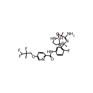 CC1(C)C(N)=N[C@](C)(c2cc(NC(=O)c3ccc(OCC(F)(F)C(F)F)cn3)ccc2F)[C@@H]2CCN[SH]21=O